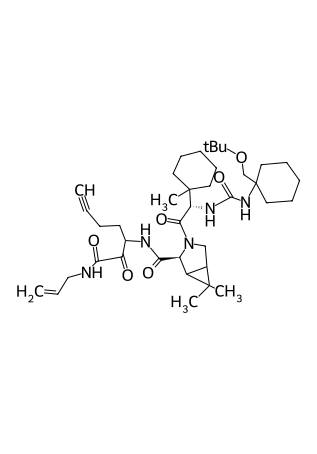 C#CCCC(NC(=O)[C@@H]1C2C(CN1C(=O)[C@@H](NC(=O)NC1(COC(C)(C)C)CCCCC1)C1(C)CCCCC1)C2(C)C)C(=O)C(=O)NCC=C